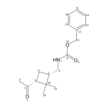 CC(=O)[C@@H]1C[C@H](CNC(=O)OCc2ccccc2)C1(C)C